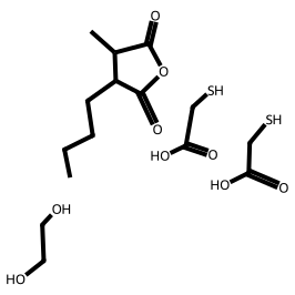 CCCCC1C(=O)OC(=O)C1C.O=C(O)CS.O=C(O)CS.OCCO